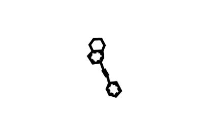 C(#Cc1ccc2c(c1)CCCC2)c1ccccc1